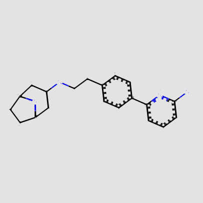 Nc1cccc(-c2ccc(CCNC3CC4CCC(C3)N4)cc2)n1